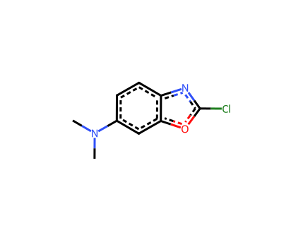 CN(C)c1ccc2nc(Cl)oc2c1